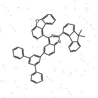 CC1(C)c2ccccc2-c2c(-c3nc(-c4cccc5oc6ccccc6c45)c4cc(-c5cc(-c6ccccc6)cc(-c6ccccc6)c5)ccc4n3)cccc21